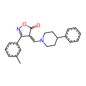 Cc1cccc(C2=NOC(=O)C2=CN2CCC(c3ccccc3)CC2)c1